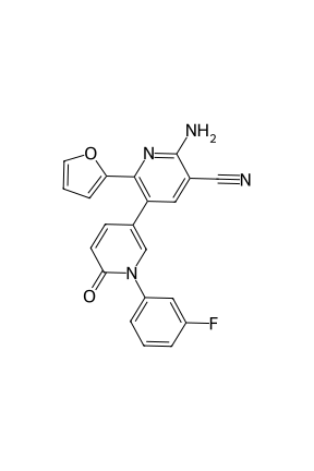 N#Cc1cc(-c2ccc(=O)n(-c3cccc(F)c3)c2)c(-c2ccco2)nc1N